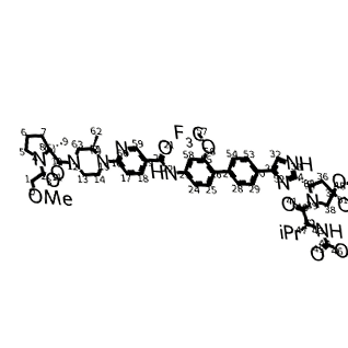 COCC(=O)N1CCC[C@@]1(C)C(=O)N1CCN(c2ccc(C(=O)Nc3ccc(-c4ccc(-c5c[nH]c([C@@H]6CC7(CN6C(=O)[C@@H](NC(=O)OC)C(C)C)OCCO7)n5)cc4)c(OC(F)(F)F)c3)cn2)[C@H](C)C1